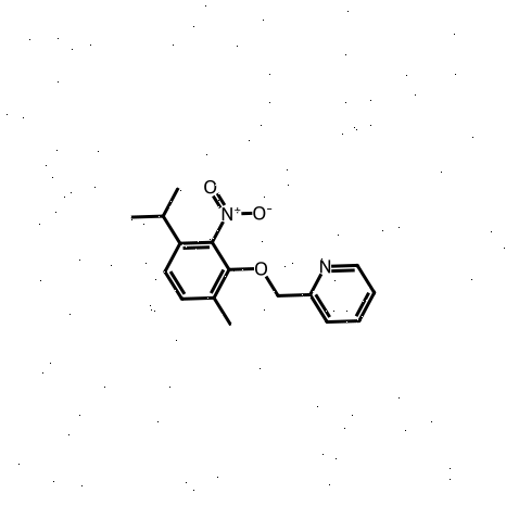 Cc1ccc(C(C)C)c([N+](=O)[O-])c1OCc1ccccn1